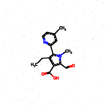 CCc1c(C(=O)O)c(C=O)n(C)c1-c1cc(C)ccn1